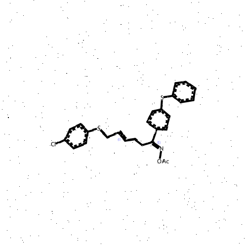 CC(=O)O/N=C(\CC/C=C/CSc1ccc(Cl)cc1)c1ccc(Sc2ccccc2)cc1